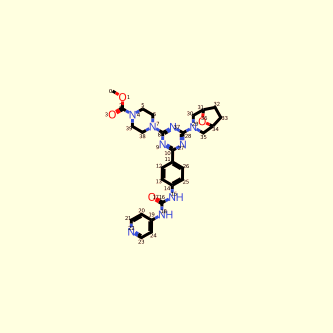 COC(=O)N1CCN(c2nc(-c3ccc(NC(=O)Nc4ccncc4)cc3)nc(N3CC4CCC(C3)O4)n2)CC1